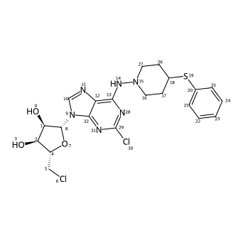 O[C@@H]1[C@H](O)[C@@H](CCl)O[C@H]1n1cnc2c(NN3CCC(Sc4ccccc4)CC3)nc(Cl)nc21